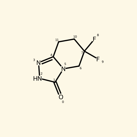 O=c1[nH]nc2n1CC(F)(F)CC2